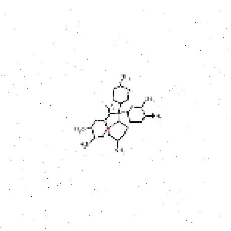 CC1CC(C(C)C(C2CCC(N)CC2)(C2CCC(N)CC2)C2CCC(N)C(C)C2)CCC1N